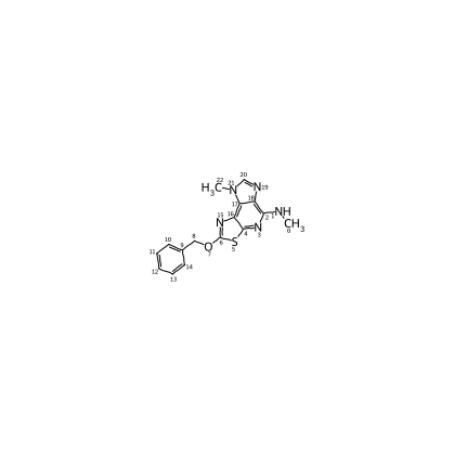 CNc1nc2sc(OCc3ccccc3)nc2c2c1ncn2C